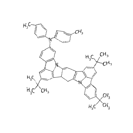 Cc1ccc(N(c2ccc(C)cc2)c2ccc3c4cc(C(C)(C)C)cc5c4n(c3c2)C2=Cc3c(n4c6ccc(C(C)(C)C)cc6c6cc(C(C)(C)C)cc3c64)CC25)cc1